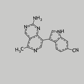 Cc1ncc(-c2c[nH]c3cc(C#N)ccc23)c2nc(N)ncc12